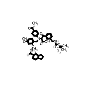 COC(=O)c1ccc(N(Cc2ccc(OC)cc2OC)[C@H](C(=O)O)C(=O)c2cccc(CNC(=O)OC(C)(C)C)c2)cc1.NC(=O)c1ccc2c(c1)CCC2